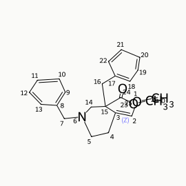 CO/C=C1/CCN(Cc2ccccc2)CC1(Cc1ccccc1)C(=O)OC